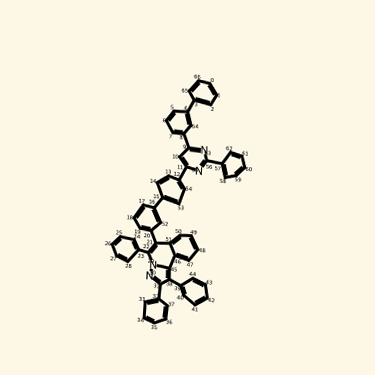 c1ccc(-c2cccc(-c3cc(-c4ccc(-c5cccc(-c6c(-c7ccccc7)n7nc(-c8ccccc8)c(-c8ccccc8)c7c7ccccc67)c5)cc4)nc(-c4ccccc4)n3)c2)cc1